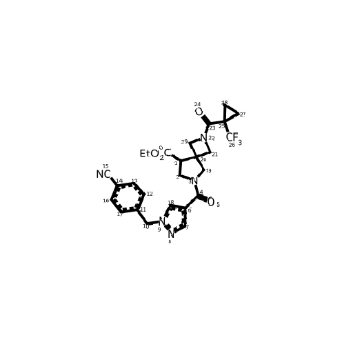 CCOC(=O)C1CN(C(=O)c2cnn(Cc3ccc(C#N)cc3)c2)CC12CN(C(=O)C1(C(F)(F)F)CC1)C2